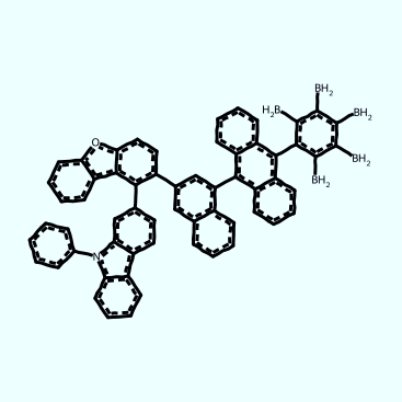 Bc1c(B)c(B)c(-c2c3ccccc3c(-c3cc(-c4ccc5oc6ccccc6c5c4-c4ccc5c6ccccc6n(-c6ccccc6)c5c4)cc4ccccc34)c3ccccc23)c(B)c1B